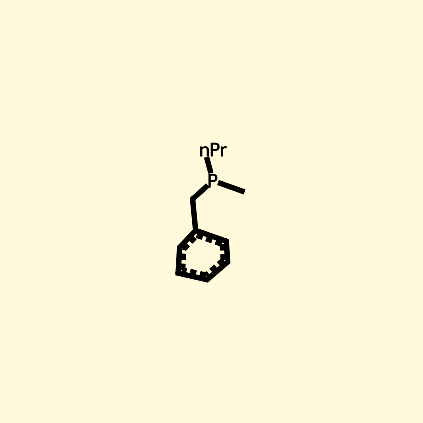 CCCP(C)Cc1ccccc1